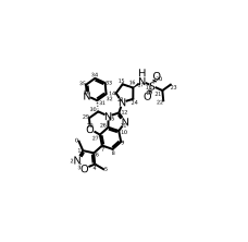 Cc1noc(C)c1-c1ccc2nc(N3CC[C@@H](NS(=O)(=O)C(C)C)C3)n3c2c1OC[C@@H]3c1ccccn1